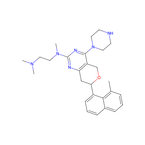 Cc1cccc2cccc(C3Cc4nc(N(C)CCN(C)C)nc(N5CCNCC5)c4CO3)c12